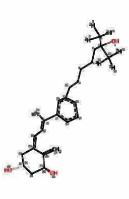 [2H]C([2H])([2H])C(O)(CCCCCc1cccc(C(=CC=C2C[C@@H](O)C[C@H](O)C2=C)CCC)c1)C([2H])([2H])[2H]